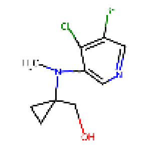 CN(c1cncc(Br)c1Cl)C1(CO)CC1